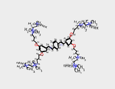 CCCCCC[N+](C)(C)CC[N+](C)(C)CCCCOc1cc(/C=C/c2ccc(/C=C/c3cc(OCCCC[N+](C)(C)CC[N+](C)(C)CCCCCC)cc(OCCCC[N+](C)(C)CC[N+](C)(C)CCCCCC)c3)cc2)cc(OCCCC[N+](C)(C)CC[N+](C)(C)CCCCCC)c1